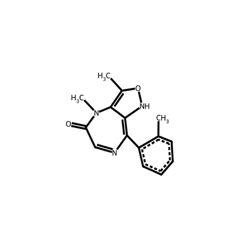 CC1=C2C(=C(c3ccccc3C)N=CC(=O)N2C)NO1